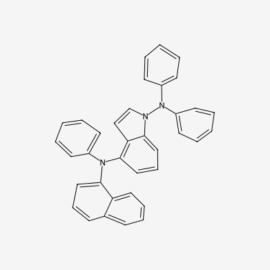 c1ccc(N(c2cccc3ccccc23)c2cccc3c2ccn3N(c2ccccc2)c2ccccc2)cc1